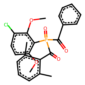 COc1ccc(Cl)c(OC)c1P(=O)(C(=O)c1ccccc1)C(=O)c1c(C)cccc1C